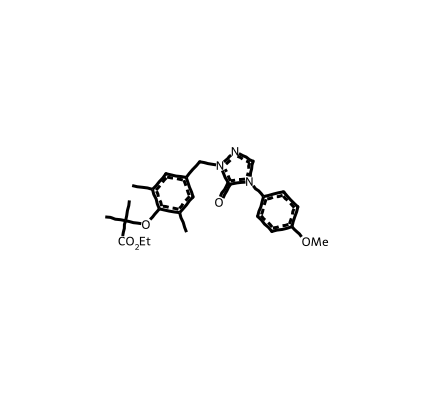 CCOC(=O)C(C)(C)Oc1c(C)cc(Cn2ncn(-c3ccc(OC)cc3)c2=O)cc1C